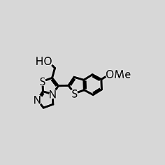 COc1ccc2sc(C3=C(CO)SC4=NCCN43)cc2c1